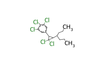 CCCC(CCC)C1C(c2cc(Cl)c(Cl)c(Cl)c2)C1(Cl)Cl